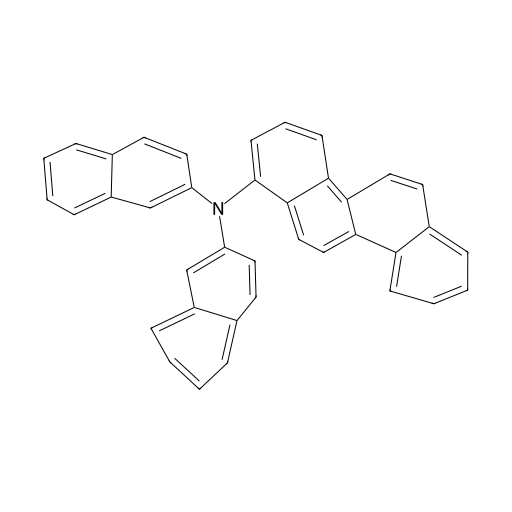 c1ccc2cc(N(c3ccc4ccccc4c3)c3cccc4c3ccc3c5ccccc5ccc43)ccc2c1